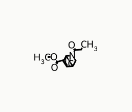 CCC(=O)N1CC2C=CC1N(C(=O)OC)C2